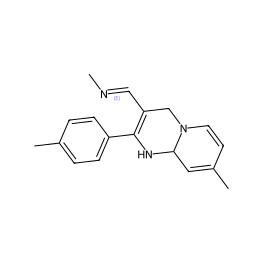 C/N=C/C1=C(c2ccc(C)cc2)NC2C=C(C)C=CN2C1